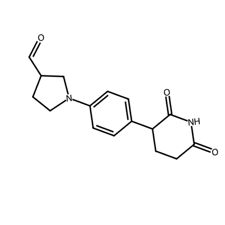 O=CC1CCN(c2ccc(C3CCC(=O)NC3=O)cc2)C1